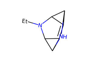 CCN1C2C3=C4C(NC32)C41